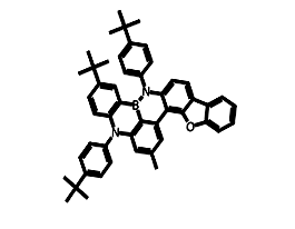 Cc1cc2c3c(c1)N(c1ccc(C(C)(C)C)cc1)c1ccc(C(C)(C)C)cc1B3N(c1ccc(C(C)(C)C)cc1)c1ccc3c(oc4ccccc43)c1-2